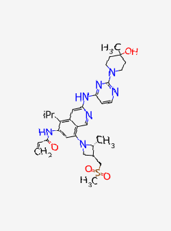 C=CC(=O)Nc1cc(N2C[C@H](CS(C)(=O)=O)[C@H]2C)c2cnc(Nc3ccnc(N4CCC(C)(O)CC4)n3)cc2c1C(C)C